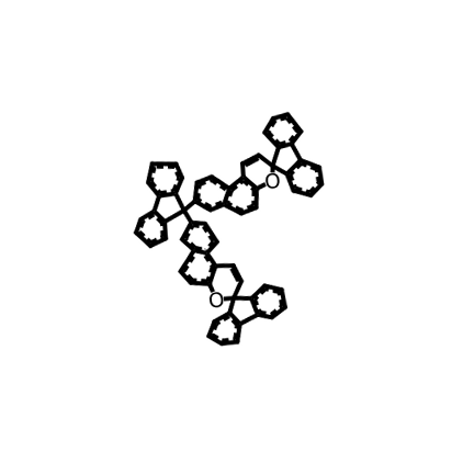 C1=CC2(Oc3ccc4cc(C5(c6ccc7c8c(ccc7c6)OC6(C=C8)c7ccccc7-c7ccccc76)c6ccccc6-c6ccccc65)ccc4c31)c1ccccc1-c1ccccc12